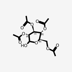 CC(=O)OC[C@H]1O[C](O)[C@H](OC(C)=O)[C@@H](OC(C)=O)[C@@H]1OC(C)=O